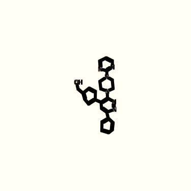 OCc1ccc(-c2cc(-c3ccccc3)nnc2N2CCN(c3ncccn3)CC2)cc1